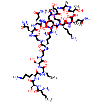 CSCC[C@H](NC(=O)[C@H](CCCCN)NC(=O)[C@H](CO)NC(=O)[C@@H](N)CCC(=O)O)C(=O)N[C@@H](CO)C(=O)NCC(=O)N[C@@H](CCCCN)C(=O)NCC(=O)N[C@@H](CCC(N)=O)C(=O)N[C@@H](CCC(N)=O)C(=O)N[C@@H](CCC(N)=O)C(=O)N[C@@H](CCC(N)=O)C(=O)NCC(=O)N[C@@H](CCC(N)=O)C(=O)N[C@H](C(=O)N[C@H](C(=O)N[C@H](C(=O)N[C@@H](CCCCN)C(=O)N[C@@H](CCCCN)C(=O)N[C@@H](CO)C(=O)O)[C@@H](C)O)C(C)C)[C@@H](C)O